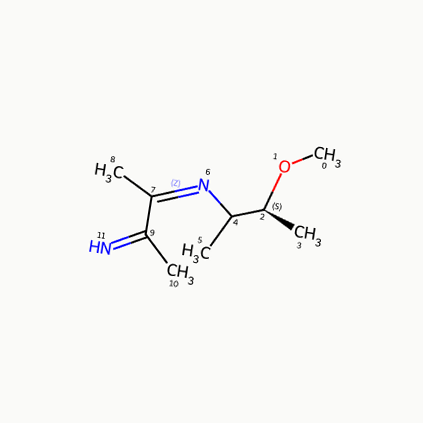 CO[C@@H](C)C(C)/N=C(/C)C(C)=N